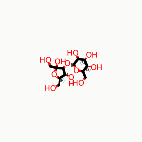 OCC1O[C@H](OC2[C@@H](O)[C@@H](CO)OC2(O)CO)C(O)[C@@H](O)[C@@H]1O